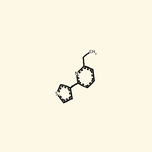 CCc1cccc(-c2ccsc2)n1